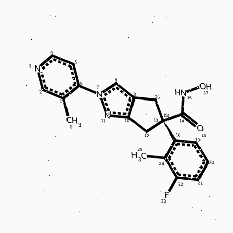 Cc1cnccc1-n1cc2c(n1)C[C@](C(=O)NO)(c1cccc(F)c1C)C2